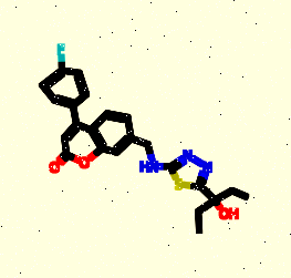 CCC(O)(CC)c1nnc(NCc2ccc3c(-c4ccc(F)cc4)cc(=O)oc3c2)s1